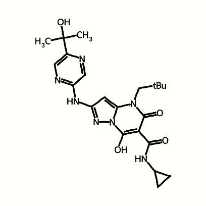 CC(C)(C)Cn1c(=O)c(C(=O)NC2CC2)c(O)n2nc(Nc3cnc(C(C)(C)O)cn3)cc12